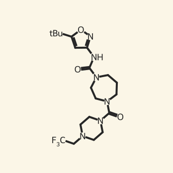 CC(C)(C)c1cc(NC(=O)N2CCCN(C(=O)N3CCN(CC(F)(F)F)CC3)CC2)no1